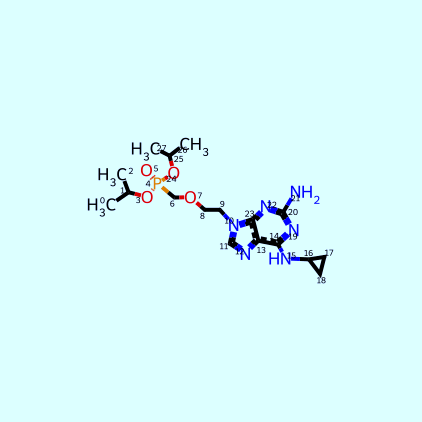 CC(C)OP(=O)(COCCn1cnc2c(NC3CC3)nc(N)nc21)OC(C)C